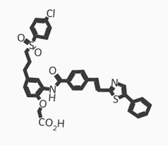 O=C(O)COc1ccc(CCCS(=O)(=O)c2ccc(Cl)cc2)cc1NC(=O)c1ccc(C=Cc2ncc(-c3ccccc3)s2)cc1